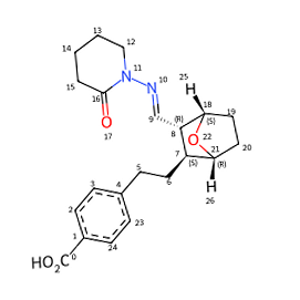 O=C(O)c1ccc(CC[C@H]2[C@H](C=NN3CCCCC3=O)[C@@H]3CC[C@H]2O3)cc1